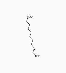 CCC/C=C/CCCCCCCOC(C)=O